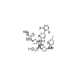 CC(C)(C)N(C(=O)O)[C@H]1CC[C@H](Nc2ccc(I)cn2)C1.CC(C)(C)OC(=O)N[C@H]1CC[C@H](Nc2ccc(-c3c(F)cccc3F)cn2)C1